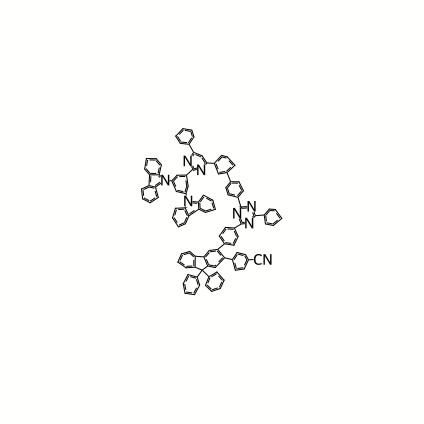 N#Cc1ccc(-c2cc3c(cc2-c2ccc(-c4nc(-c5ccccc5)nc(-c5ccc(-c6cccc(-c7cc(-c8ccccc8)nc(-c8cc(-n9c%10ccccc%10c%10ccccc%109)cc(-n9c%10ccccc%10c%10ccccc%109)c8)n7)c6)cc5)n4)cc2)-c2ccccc2C3(c2ccccc2)c2ccccc2)cc1